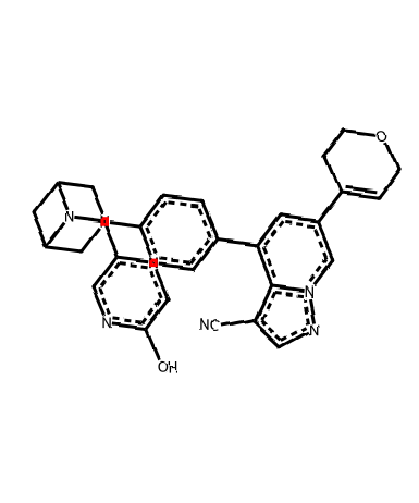 N#Cc1cnn2cc(C3=CCOCC3)cc(-c3ccc(N4CC5CC(C4)N5Cc4cnc(O)cn4)nc3)c12